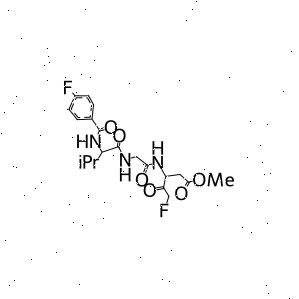 COC(=O)CC(NC(=O)CNC(=O)C(NC(=O)c1ccc(F)cc1)C(C)C)C(=O)CF